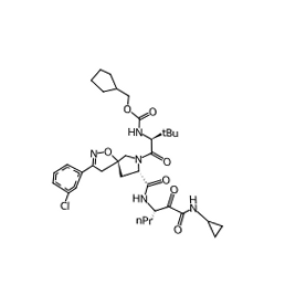 CCC[C@H](NC(=O)[C@@H]1C[C@]2(CC(c3cccc(Cl)c3)=NO2)CN1C(=O)[C@@H](NC(=O)OCC1CCCC1)C(C)(C)C)C(=O)C(=O)NC1CC1